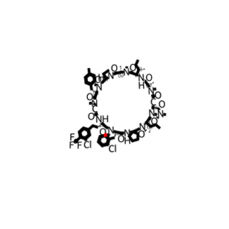 CC[C@H](C)[C@@H]1NC(=O)[C@H](C)N(C)C(=O)C[C@@H](C(=O)N(C)C)N(C)C(=O)[C@H]([C@@H](C)CC)N(C)C(=O)C2(CCCC2)NC(=O)[C@H](Cc2ccccc2Cl)N(CC)C(=O)[C@H](CCc2ccc(C(F)(F)F)c(Cl)c2)NC(=O)CN(C)C(=O)[C@H](Cc2ccc(C)cc2)N(C)C(=O)[C@@H]2CCN2C(=O)[C@H](C)N(C)C1=O